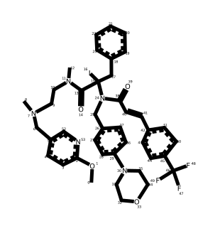 COc1ccc(CN(C)CCN(C)C(=O)C(I)(Cc2ccccc2)N(Cc2ccc(N3CCOCC3)cc2)C(=O)C=Cc2ccc(C(F)(F)F)cc2)cn1